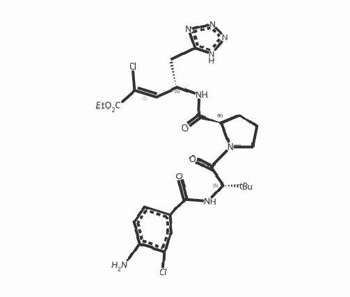 CCOC(=O)/C(Cl)=C/[C@H](Cc1nnn[nH]1)NC(=O)[C@H]1CCCN1C(=O)[C@@H](NC(=O)c1ccc(N)c(Cl)c1)C(C)(C)C